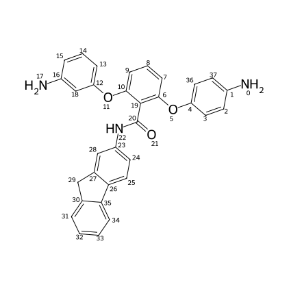 Nc1ccc(Oc2cccc(Oc3cccc(N)c3)c2C(=O)Nc2ccc3c(c2)Cc2ccccc2-3)cc1